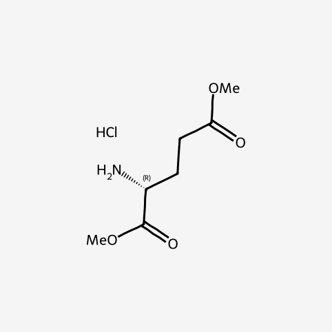 COC(=O)CC[C@@H](N)C(=O)OC.Cl